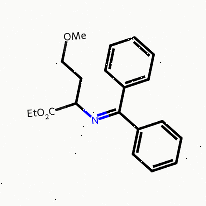 CCOC(=O)C(CCOC)N=C(c1ccccc1)c1ccccc1